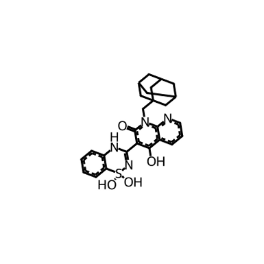 O=c1c(C2=NS(O)(O)c3ccccc3N2)c(O)c2cccnc2n1CC12CC3CC(CC(C3)C1)C2